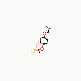 BC(C)(P)Oc1ccc(OCC(C)C)cc1